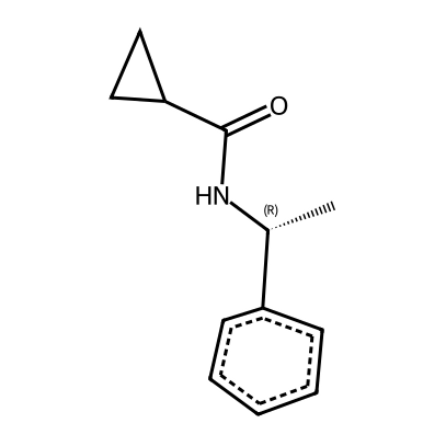 C[C@@H](NC(=O)C1CC1)c1ccccc1